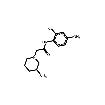 CC1CCCN(CC(=O)Nc2ccc(N)cc2Cl)C1